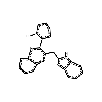 Oc1ccccc1-c1nc2ccccc2nc1Cc1nc2ccccc2[nH]1